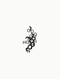 CCC(=O)OCC(=O)C1(OC(=O)CC)[C@@H](C)C[C@H]2[C@@H]3CCC4=CC5=NCC=C5C[C@]4(C)[C@@]3(F)[C@@H](O)C[C@@]21C